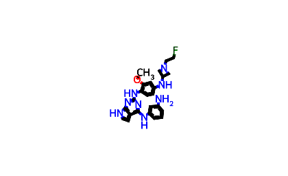 COc1cc(NC2CN(CCF)C2)ccc1Nc1nc(Nc2cccc(N)c2)c2cc[nH]c2n1